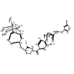 Cc1cc(CNC(=O)Nc2ccc(C(=O)N3CCN(Cc4ccc(C(O)(C(F)(F)F)C(F)(F)F)cc4)CC3)cc2F)no1